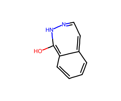 OC1=c2ccccc2=CC=NN1